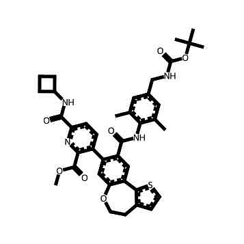 COC(=O)c1nc(C(=O)NC2CCC2)ccc1-c1cc2c(cc1C(=O)Nc1c(C)cc(CNC(=O)OC(C)(C)C)cc1C)-c1sccc1CCO2